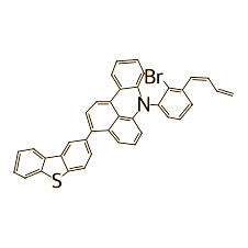 C=C/C=C\c1cccc(N2c3ccccc3-c3ccc(-c4ccc5sc6ccccc6c5c4)c4cccc2c34)c1Br